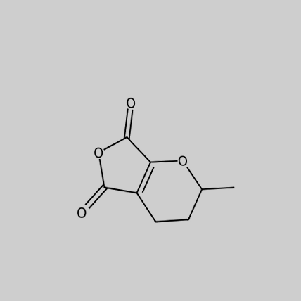 CC1CCC2=C(O1)C(=O)OC2=O